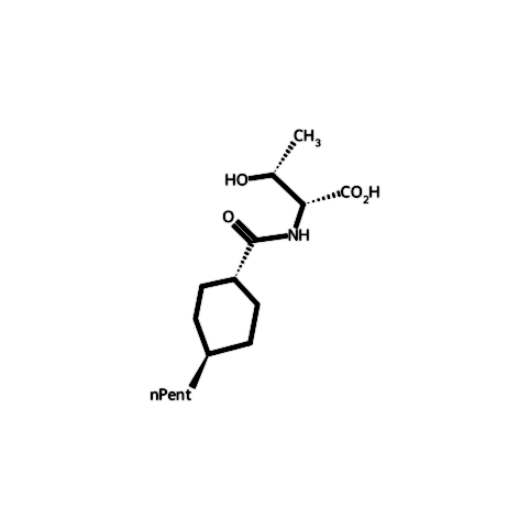 CCCCC[C@H]1CC[C@H](C(=O)N[C@@H](C(=O)O)[C@@H](C)O)CC1